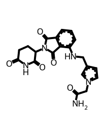 NC(=O)Cn1ccc(CNc2cccc3c2C(=O)N(C2CCC(=O)NC2=O)C3=O)c1